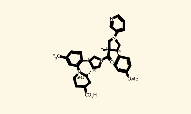 COC[C@H]1CN(C(=O)[C@]2(F)CN(c3cccnc3)C[C@H]2c2ccc(OC)cc2)C[C@@H]1c1ccc(C(F)(F)F)cc1N1CCC(C(=O)O)CC1